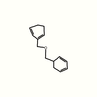 C1=CCC(COCC2=CCCC=C2)C=C1